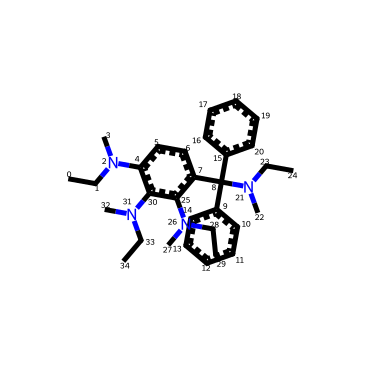 CCN(C)c1ccc(C(c2ccccc2)(c2ccccc2)N(C)CC)c(N(C)CC)c1N(C)CC